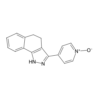 [O-][n+]1ccc(-c2n[nH]c3c2CCc2ccccc2-3)cc1